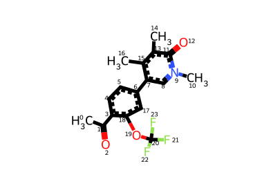 CC(=O)c1ccc(-c2cn(C)c(=O)c(C)c2C)cc1OC(F)(F)F